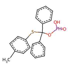 Cc1ccc(SC(O[PH](=O)O)(c2ccccc2)c2ccccc2)cc1